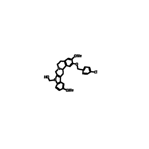 COc1ccc2c(c1)c1c(n2CO)CN2CCc3cc(OC)c(OCc4ccc(Cl)cc4)cc3C2C1